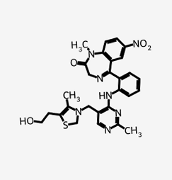 CC1=C(CCO)SCN1Cc1cnc(C)nc1Nc1ccccc1C1=NCC(=O)N(C)c2ccc([N+](=O)[O-])cc21